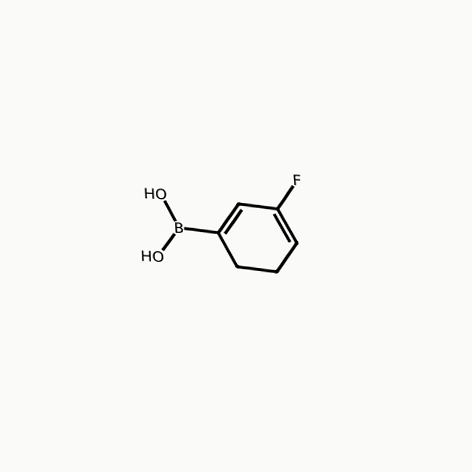 OB(O)C1=CC(F)=CCC1